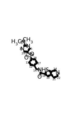 CN(C)c1ncc(S(=O)(=O)c2ccc(CNC(=O)c3cc4ccncc4s3)cc2)cn1